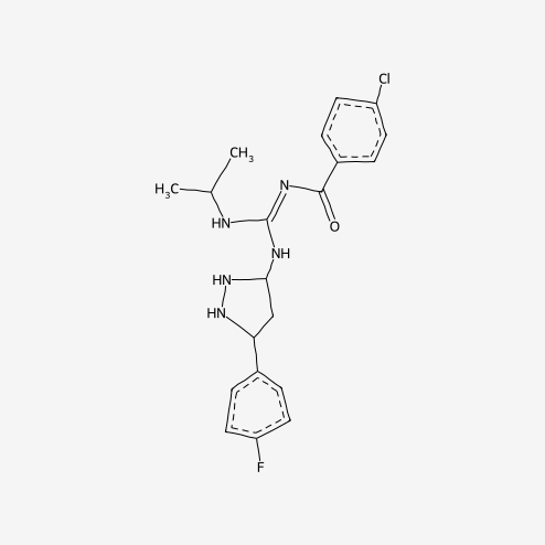 CC(C)N/C(=N/C(=O)c1ccc(Cl)cc1)NC1CC(c2ccc(F)cc2)NN1